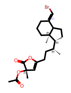 CC(=O)O[C@@]1(C)C=C(CC[C@@H](C)[C@H]2CCC3/C(=C/Br)CCC[C@@]32C)OC1=O